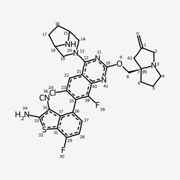 C=C1CN2CCC[C@]2(COc2nc(N3CC4CCC(C3)N4)c3cc(Cl)c(-c4ccc(F)c5sc(N)c(C#N)c45)c(F)c3n2)C1